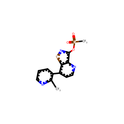 O=S(=O)(Oc1nsc2c(-c3cccnc3C(F)(F)F)ccnc12)C(F)(F)F